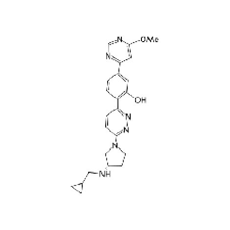 COc1cc(-c2ccc(-c3ccc(N4CC[C@H](NCC5CC5)C4)nn3)c(O)c2)ncn1